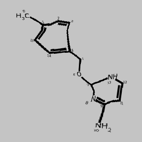 Cc1ccc(COC2N=C(N)C=CN2)cc1